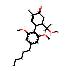 CCCCCc1cc(OC)c(C2C=C(C)C(=O)CC2C(C)(C)OC)c(OC)c1